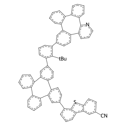 CC(C)(C)c1c(-c2ccc3c(c2)-c2ccccc2-c2ccccc2-c2cc(-c4cccc5c4sc4ccc(C#N)cc45)ccc2-3)cccc1-c1ccc2c(c1)-c1ccccc1-c1ccccc1-c1ncccc1-2